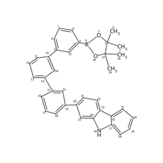 CC1(C)OB(c2cccc(-c3cccc(-c4cccc(-c5ccc6c(c5)[nH]c5ccccc56)c4)c3)c2)OC1(C)C